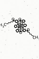 CCCCCCCC(=O)c1ccc(OC(=O)c2ccccc2)c(C(=O)c2ccccc2C(=O)OOC(=O)c2ccccc2C(=O)c2cc(C(=O)CCCCCCC)ccc2OC(=O)c2ccccc2)c1